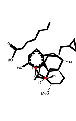 CCCCCCC(=O)O.CO[C@@]12CC[C@@]3(C[C@@H]1[C@](C)(O)C(C)(C)C)[C@H]1Cc4ccc(O)c5c4[C@@]3(CCN1CC1CC1)[C@H]2O5